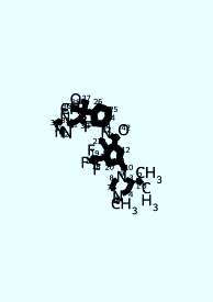 CC(C)[C@H]1CN(C)CCN1Cc1cc2c(c(C(F)(F)F)c1)CN(c1cccc(C3(C(F)c4nncn4C)COC3)c1)C2=O